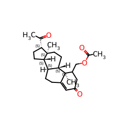 CC(=O)OCC1CC(=O)C=C2CC[C@H]3[C@@H]4CC[C@H](C(C)=O)[C@@]4(C)CC[C@@H]3[C@]21C